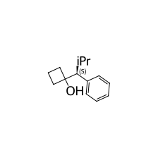 CC(C)[C@@H](c1ccccc1)C1(O)CCC1